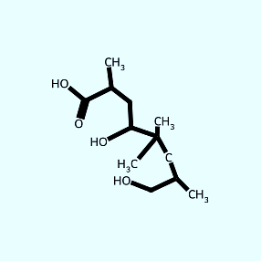 CC(CO)CC(C)(C)C(O)CC(C)C(=O)O